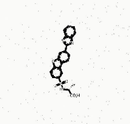 CC(C)[C@@H](NS(=O)(=O)c1ccc2oc3cc(-c4nc5ccccc5s4)ccc3c2c1)C(=O)O